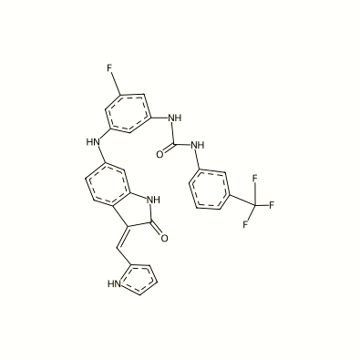 O=C(Nc1cc(F)cc(Nc2ccc3c(c2)NC(=O)C3=Cc2ccc[nH]2)c1)Nc1cccc(C(F)(F)F)c1